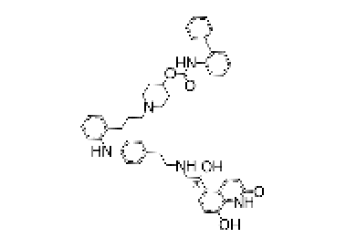 O=C(Nc1ccccc1-c1ccccc1)OC1CCN(CCCc2ccccc2Nc2ccc(CCNC[C@H](O)c3ccc(O)c4[nH]c(=O)ccc34)cc2)CC1